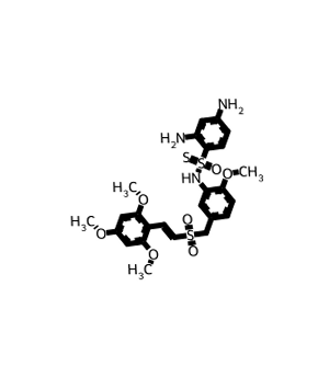 COc1cc(OC)c(/C=C/S(=O)(=O)Cc2ccc(OC)c(NS(=O)(=S)c3ccc(N)cc3N)c2)c(OC)c1